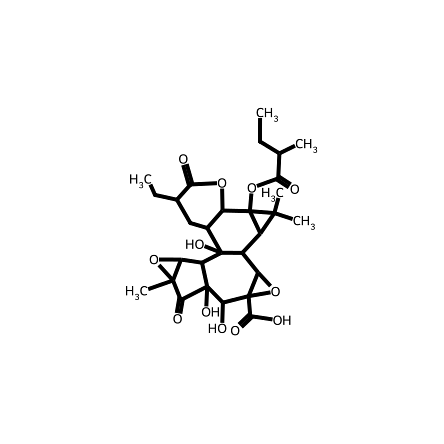 CCC(C)C(=O)OC12C3OC(=O)C(CC)CC3C3(O)C(C4OC4(C(=O)O)C(O)C4(O)C(=O)C5(C)OC5C43)C1C2(C)C